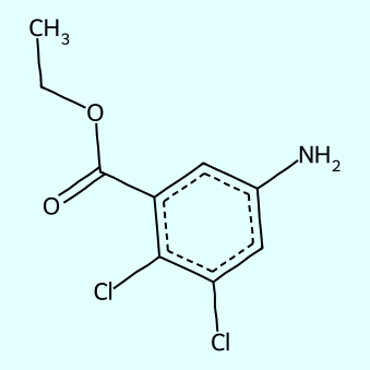 CCOC(=O)c1cc(N)cc(Cl)c1Cl